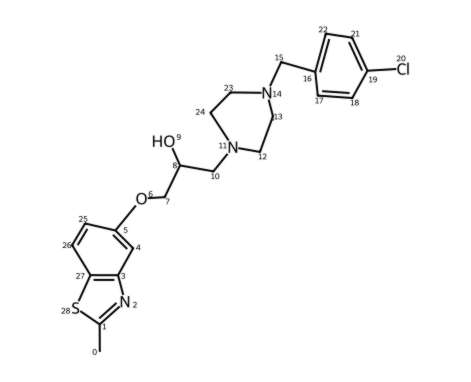 Cc1nc2cc(OCC(O)CN3C[CH]N(Cc4ccc(Cl)cc4)CC3)ccc2s1